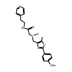 CSc1ccc(-c2nc(C[S+]([O-])CC(=O)NCCc3ccncc3)c(C)o2)cc1